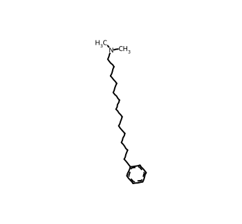 CN(C)CCCCCCCCCCCCCc1ccccc1